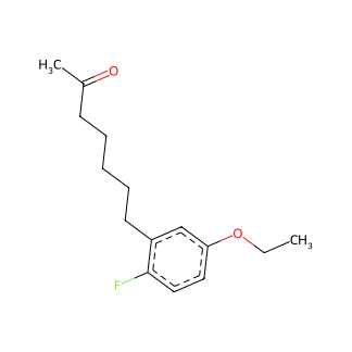 CCOc1ccc(F)c(CCCCCC(C)=O)c1